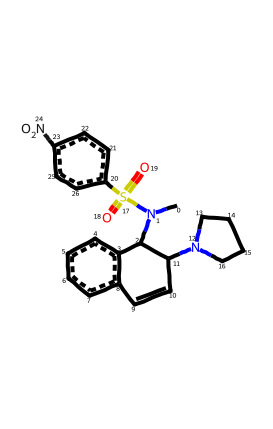 CN(C1c2ccccc2C=CC1N1CCCC1)S(=O)(=O)c1ccc([N+](=O)[O-])cc1